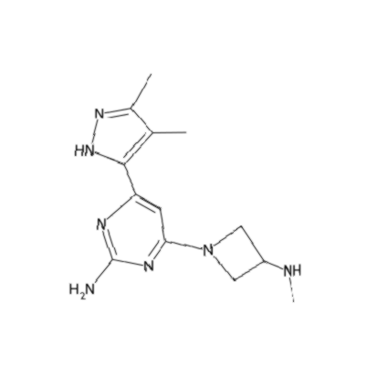 CNC1CN(c2cc(-c3[nH]nc(C)c3C)nc(N)n2)C1